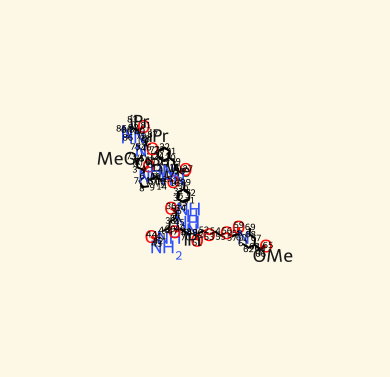 CC[C@H](C)[C@@H]([C@@H](CC(=O)N1CCC[C@H]1[C@H](OC)[C@@H](C)C(=O)N[C@@H](Cc1ccccc1)C(=O)NCc1ccc(NC(=O)[C@H](CCCNC(N)=O)NC(=O)[C@@H](NC(=O)COCCOCC(=O)N2CCC(C(=O)OC)CC2C)C(C)C)cc1)OC)N(C)C(=O)[C@@H](NC(=O)[C@H](C(C)C)N(C)C)C(C)C